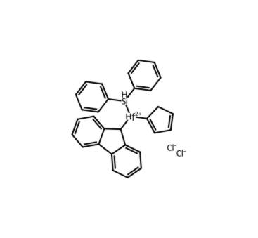 C1=CC[C]([Hf+2]([CH]2c3ccccc3-c3ccccc32)[SiH](c2ccccc2)c2ccccc2)=C1.[Cl-].[Cl-]